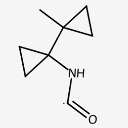 CC1(C2(N[C]=O)CC2)CC1